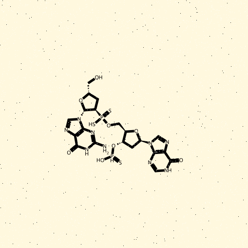 Nc1nc2c(ncn2[C@@H]2O[C@H](CO)C[C@H]2P(=S)(S)OC[C@H]2O[C@@H](n3cnc4c(=O)[nH]cnc43)C[C@@H]2O[PH](O)=S)c(=O)[nH]1